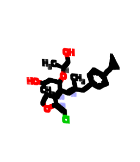 C\C(=C/C(=C1/CCO/C1=C\Cl)C(CC(C)O)O[C@@H](C)CO)Cc1ccc(C2CC2)cc1